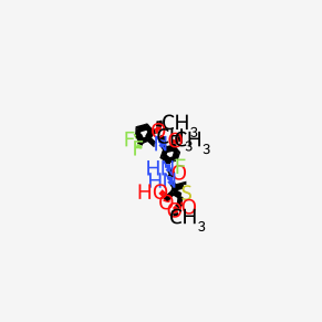 CCOc1ccc(F)c(F)c1CN(C)c1cc(NC(=O)Nc2csc(C(=O)OC)c2C(=O)O)c(F)cc1OC